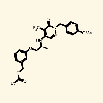 CCC(=O)OCc1cccc(OC[C@H](C)Nc2cnn(Cc3ccc(OC)cc3)c(=O)c2C(F)(F)F)c1